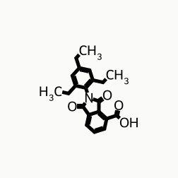 CCc1cc(CC)c(N2C(=O)c3cccc(C(=O)O)c3C2=O)c(CC)c1